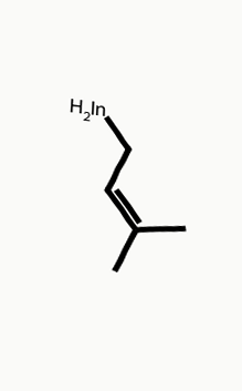 CC(C)=C[CH2][InH2]